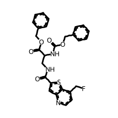 O=C(NC(CNC(=O)c1cc2nccc(CF)c2s1)C(=O)OCc1ccccc1)OCc1ccccc1